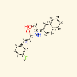 O=C(/C=C/c1cccc(F)c1)NC(CO)c1ccc2ccccc2c1